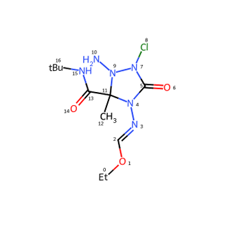 CCOC=NN1C(=O)N(Cl)N(N)C1(C)C(=O)NC(C)(C)C